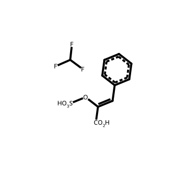 FC(F)F.O=C(O)C(=Cc1ccccc1)OS(=O)(=O)O